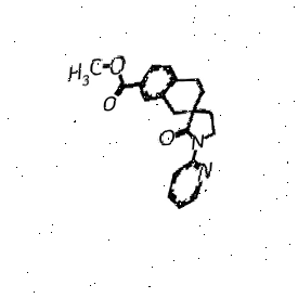 COC(=O)c1ccc2c(c1)C[C@@]1(CC2)CCN(c2ccccn2)C1=O